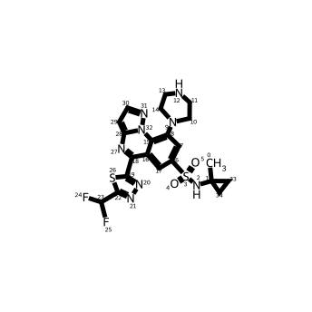 CC1(NS(=O)(=O)c2cc(N3CCNCC3)c3c(c2)c(-c2nnc(C(F)F)s2)nc2ccnn23)CC1